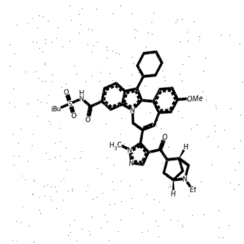 CCC(C)S(=O)(=O)NC(=O)c1ccc2c(C3CCCCC3)c3n(c2c1)CC(c1c(C(=O)C2C[C@@H]4C[C@H]2CN4CC)cnn1C)=Cc1cc(OC)ccc1-3